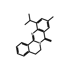 C=C1c2cc(C)cc(C(C)C)c2N=C2c3ccccc3CCN12